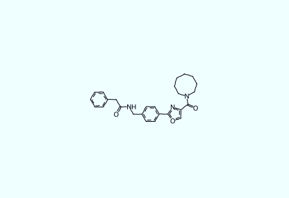 O=C(Cc1ccccc1)NCc1ccc(-c2nc(C(=O)N3CCCCCCC3)co2)cc1